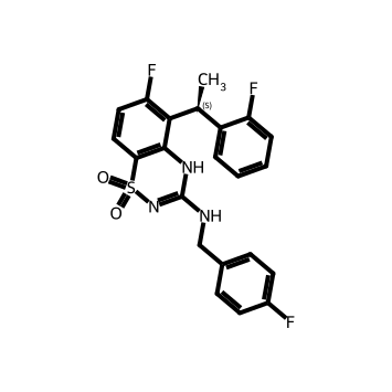 C[C@@H](c1ccccc1F)c1c(F)ccc2c1NC(NCc1ccc(F)cc1)=NS2(=O)=O